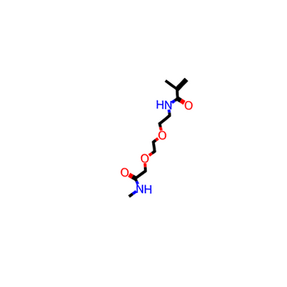 C=C(C)C(=O)NCCOCCOCC(=O)NC